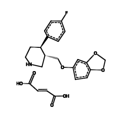 Fc1ccc([C@@H]2CCNC[C@H]2COc2ccc3c(c2)OCO3)cc1.O=C(O)C=CC(=O)O